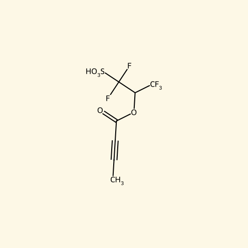 CC#CC(=O)OC(C(F)(F)F)C(F)(F)S(=O)(=O)O